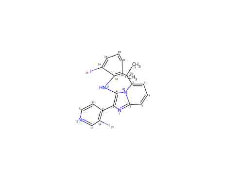 CCc1cccc2nc(-c3ccncc3I)c(Nc3c(C)cccc3I)n12